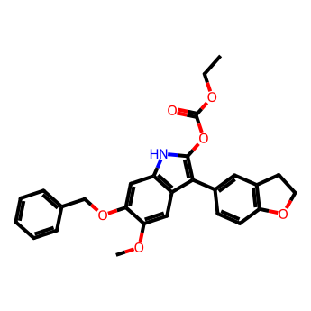 CCOC(=O)Oc1[nH]c2cc(OCc3ccccc3)c(OC)cc2c1-c1ccc2c(c1)CCO2